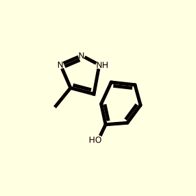 Cc1c[nH]nn1.Oc1ccccc1